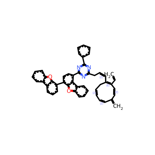 C=CC1=C(\C=C/Cc2nc(-c3ccccc3)nc(-c3ccc(-c4cccc5c4oc4ccccc45)c4oc5ccccc5c34)n2)C/C=C\C=C/C(=C)/C=C\1